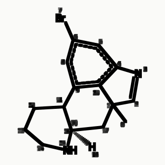 CC12C=Nc3cc(Br)cc(c31)C1CCCN[C@@H]1C2